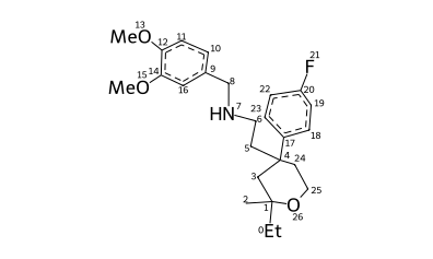 CCC1(C)CC(CCNCc2ccc(OC)c(OC)c2)(c2ccc(F)cc2)CCO1